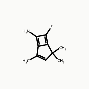 CC1=CC(C)(C)C2=C(F)C(N)=C12